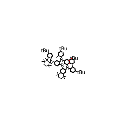 Cc1cc(C(C)(C)C)ccc1N1c2cc(N3c4ccc(C(C)(C)C)cc4C4(C)C(C)(C)CCC(C)(C)C34C)ccc2B2c3cc4c(cc3N(c3ccc(C(C)(C)C)cc3-c3ccccc3)c3cc(C(C)(C)C)cc1c32)C(C)(C)CCC4(C)C